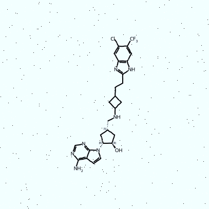 Nc1ncnc2c1ccn2[C@@H]1C[C@H](CNC2CC(CCc3nc4cc(Cl)c(C(F)(F)F)cc4[nH]3)C2)C[C@H]1O